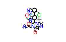 Cc1ccc2cnn(C3CCCCO3)c2c1-c1c(Cl)cc2c3c4c(nc2c1F)O[C@H](CN(C)C)CN4C(=C=O)[C@@H]1C=N[C@H](C)C(C(C)(C)C)N31